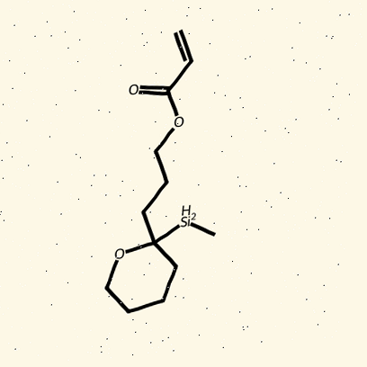 C=CC(=O)OCCCC1([SiH2]C)CCCCO1